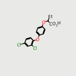 CCC(Oc1ccc(Oc2ccc(Cl)cc2Cl)cc1)C(=O)O